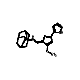 COC1=CC(c2ccc[nH]2)=N/C1=C\NC12CC3CC(CC(C3)C1)C2